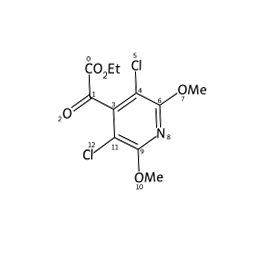 CCOC(=O)C(=O)c1c(Cl)c(OC)nc(OC)c1Cl